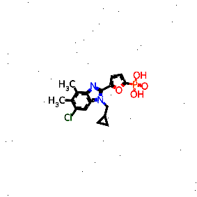 Cc1c(Cl)cc2c(nc(-c3ccc(P(=O)(O)O)o3)n2CC2CC2)c1C